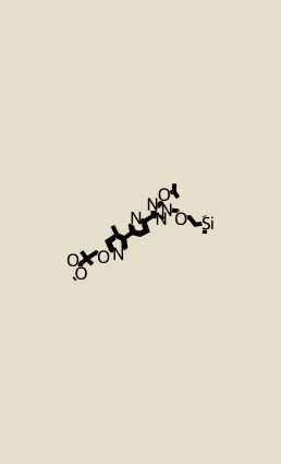 COC(=O)C(C)(C)COc1cc(C)c(-c2ccc(-c3nc(OC(C)C)n(COCC[Si](C)(C)C)n3)nc2)cn1